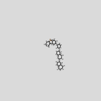 c1cc(-c2ccc3cc(-c4ccc5ccccc5c4)ccc3c2)cc(-c2ccc3sc4ccccc4c3c2)c1